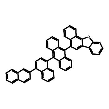 c1ccc2cc(-c3ccc(-c4c5ccccc5c(-c5cc6c7ccccc7oc6c6ccccc56)c5ccccc45)c4ccccc34)ccc2c1